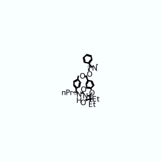 CCC[C@H](NC(=O)N1C(=O)C(CC)(CC)[C@@H]1Oc1ccc(C(=O)OC[C@@H](c2ccccc2)N(C)C)cc1)c1ccc(C)cc1